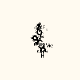 COc1cc(C)[nH]c(=O)c1CNC(=O)c1c(C)n([C@H](C)C2CCN(C(=O)C3(C(F)(F)F)CC3)CC2)c2ccccc12